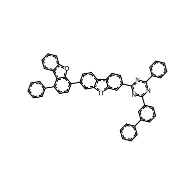 c1ccc(-c2cccc(-c3nc(-c4ccccc4)nc(-c4ccc5c(c4)oc4cc(-c6ccc(-c7ccccc7)c7c6oc6ccccc67)ccc45)n3)c2)cc1